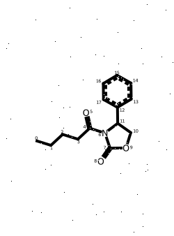 CCCCC(=O)N1C(=O)OCC1c1ccccc1